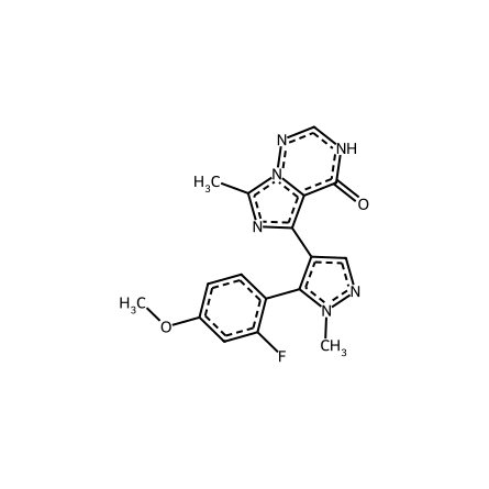 COc1ccc(-c2c(-c3nc(C)n4nc[nH]c(=O)c34)cnn2C)c(F)c1